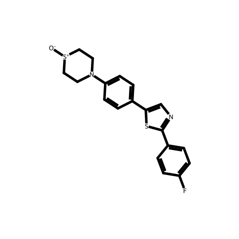 [O-][S+]1CCN(c2ccc(-c3cnc(-c4ccc(F)cc4)s3)cc2)CC1